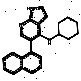 c1ccc2c(-c3cnc4[nH]ccc4c3NC3CCCCC3)cccc2c1